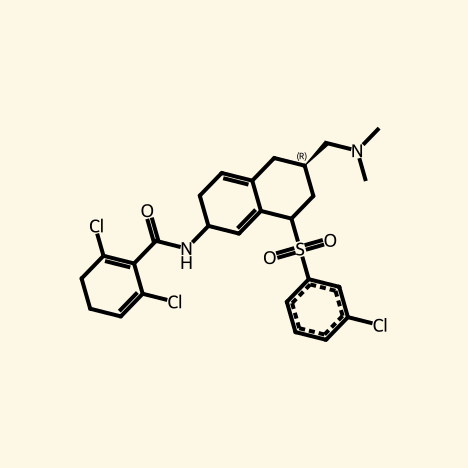 CN(C)C[C@@H]1CC2=CCC(NC(=O)C3=C(Cl)CCC=C3Cl)C=C2C(S(=O)(=O)c2cccc(Cl)c2)C1